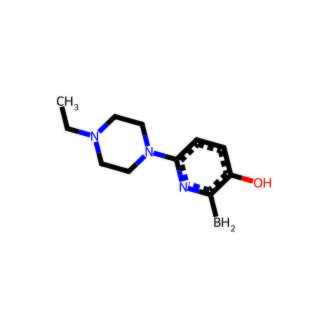 Bc1nc(N2CCN(CC)CC2)ccc1O